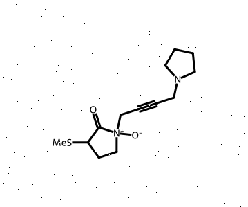 CSC1CC[N+]([O-])(CC#CCN2CCCC2)C1=O